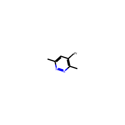 Cc1cc(C(C)C)c(C)nn1